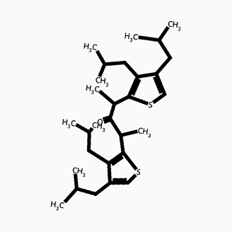 CC(C)Cc1csc(C(C)C(=O)C(C)c2scc(CC(C)C)c2CC(C)C)c1CC(C)C